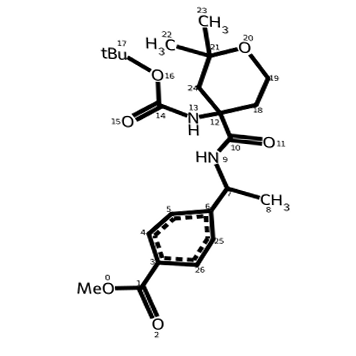 COC(=O)c1ccc(C(C)NC(=O)C2(NC(=O)OC(C)(C)C)CCOC(C)(C)C2)cc1